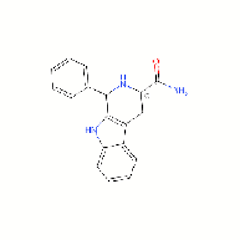 NC(=O)[C@@H]1Cc2c([nH]c3ccccc23)C(c2ccccc2)N1